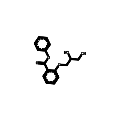 O=C(Oc1ccccc1)c1ccccc1OCC(O)CO